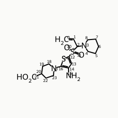 C=CC(N1CCCCC1)S(=O)(=O)c1cc(N)c(N2CCC(C(=O)O)CC2)s1